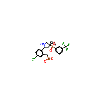 CC1(S(=O)(=O)c2cccc(C(F)(F)F)c2)CNC(c2ccc(Cl)cc2C[SH](=O)=O)C1